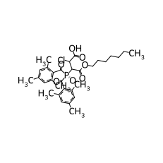 CCCCCCCOC(=O)C(C(Cl)C(=O)O)P(=O)(C(=O)c1c(C)cc(C)cc1C)C(=O)c1c(C)cc(C)cc1C